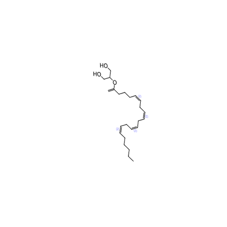 C=C(CCC/C=C\C/C=C\C/C=C\C/C=C\CCCCC)OC(CO)CO